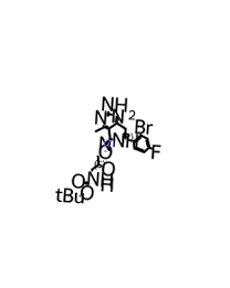 Cc1nc(N)nc2c1/C(=N/OC[C@@H](O)CNC(=O)OC(C)(C)C)N[C@@H](c1ccc(F)cc1Br)C2